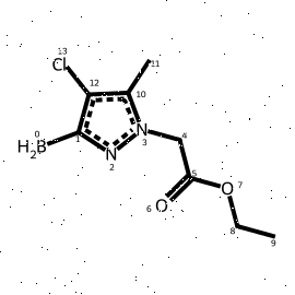 Bc1nn(CC(=O)OCC)c(C)c1Cl